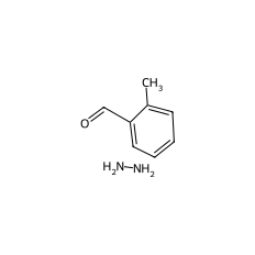 Cc1ccccc1C=O.NN